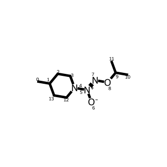 CC1CCN(/[N+]([O-])=N/OC(C)C)CC1